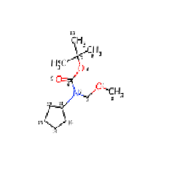 COCN(C(=O)OC(C)(C)C)C1CCCC1